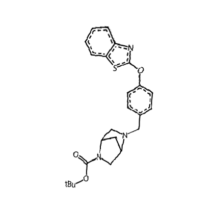 CC(C)(C)OC(=O)N1CC2CC1CN2Cc1ccc(Oc2nc3ccccc3s2)cc1